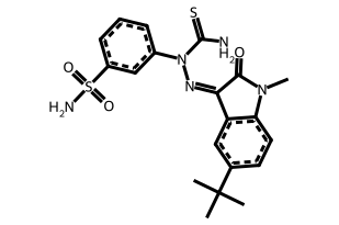 CN1C(=O)/C(=N\N(C(N)=S)c2cccc(S(N)(=O)=O)c2)c2cc(C(C)(C)C)ccc21